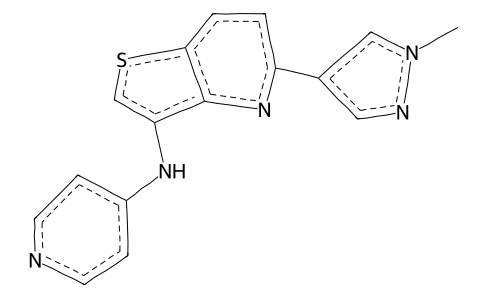 Cn1cc(-c2ccc3scc(Nc4ccncc4)c3n2)cn1